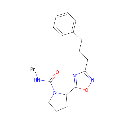 CC(C)NC(=O)N1CCCC1c1nc(CCCc2ccccc2)no1